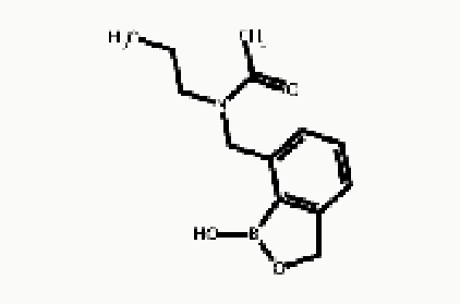 CCCN(Cc1cccc2c1B(O)OC2)C(C)=O